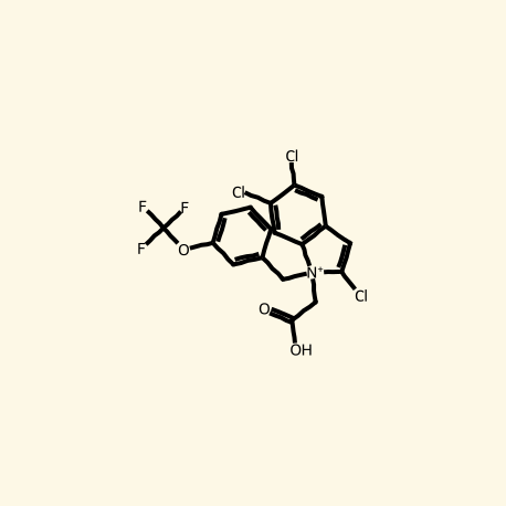 O=C(O)C[N+]1(Cc2cccc(OC(F)(F)F)c2)C(Cl)=Cc2cc(Cl)c(Cl)cc21